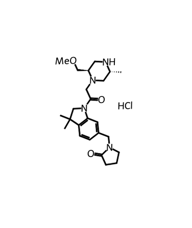 COC[C@H]1CN[C@H](C)CN1CC(=O)N1CC(C)(C)c2ccc(CN3CCCC3=O)cc21.Cl